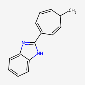 CC1C=CC=C(c2nc3ccccc3[nH]2)C=C1